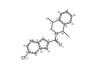 CC1CN(C(=O)c2cc3ncc(Cl)cn3n2)C(C)c2ccccc21